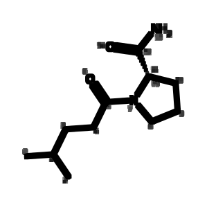 CC(C)CCC(=O)N1CCC[C@H]1C(N)=O